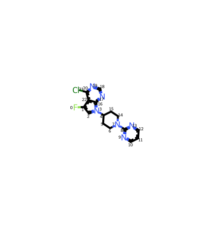 Fc1cn(C2CCN(c3ncccn3)CC2)c2ncnc(Cl)c12